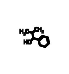 CC(C)C(O)C1=CC=CCC1